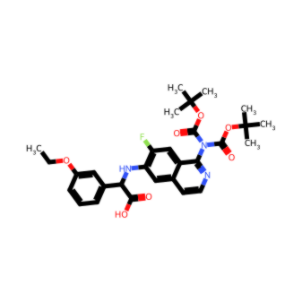 CCOc1cccc(C(Nc2cc3ccnc(N(C(=O)OC(C)(C)C)C(=O)OC(C)(C)C)c3cc2F)C(=O)O)c1